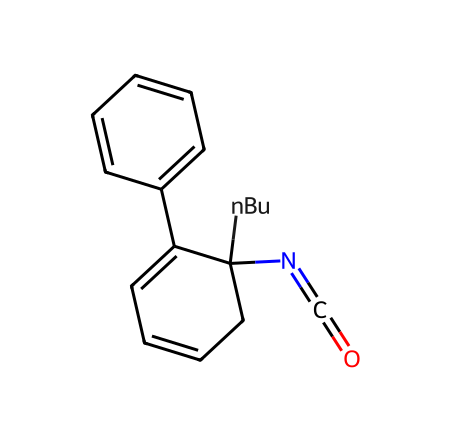 CCCCC1(N=C=O)CC=CC=C1c1ccccc1